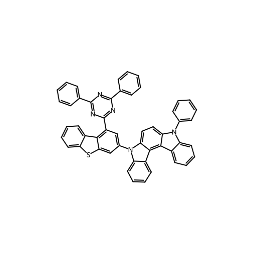 c1ccc(-c2nc(-c3ccccc3)nc(-c3cc(-n4c5ccccc5c5c6c7ccccc7n(-c7ccccc7)c6ccc54)cc4sc5ccccc5c34)n2)cc1